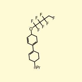 CCCC1CC=C(C2=CCC(OC(F)(F)C(F)(F)C(F)(F)CF)C=C2)CC1